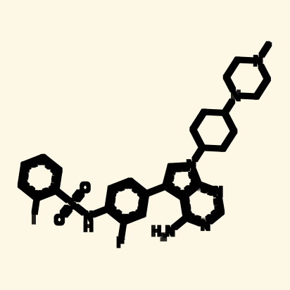 CN1CCN(C2CCC(n3cc(-c4ccc(NS(=O)(=O)c5ccccc5I)c(F)c4)c4c(N)ncnc43)CC2)CC1